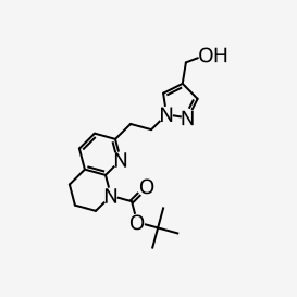 CC(C)(C)OC(=O)N1CCCc2ccc(CCn3cc(CO)cn3)nc21